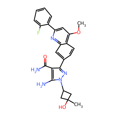 COc1cc(-c2ccccc2F)nc2cc(-c3nn(C4CC(C)(O)C4)c(N)c3C(N)=O)ccc12